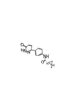 C[C@@H]1C[C@H]1C(=O)Nc1ccc(-c2ccc(=O)[nH]n2)cc1